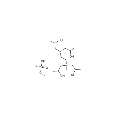 CC(O)CN(CC[N+](C)(CC(C)O)CC(C)O)CC(C)O.COS(=O)(=O)O